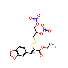 CCOC(=O)/C(=C/c1ccc2c(c1)OCO2)SSCC(CO[N+](=O)[O-])O[N+](=O)[O-]